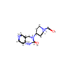 O=CN1CCC(N2Cc3cnccc3NC2=O)CC1